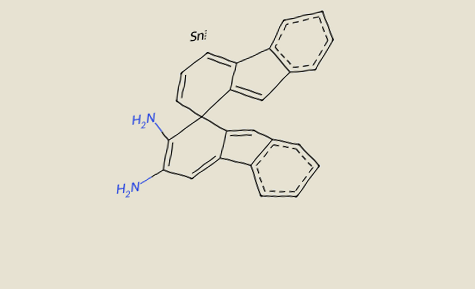 NC1=C(N)C2(C=CC=C3C2=Cc2ccccc23)C2=Cc3ccccc3C2=C1.[Sn]